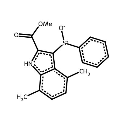 COC(=O)c1[nH]c2c(C)ccc(C)c2c1[S+]([O-])c1ccccc1